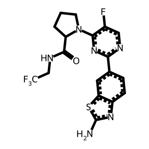 Nc1nc2ccc(-c3ncc(F)c(N4CCCC4C(=O)NCC(F)(F)F)n3)cc2s1